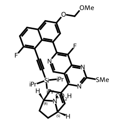 COCOc1cc(-c2ncc3c(C4=C[C@@H]5CC[C@H](C4)N5C(=O)O)nc(SC)nc3c2F)c2c(C#C[Si](C(C)C)(C(C)C)C(C)C)c(F)ccc2c1